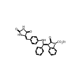 CCOC(=O)N1C(=O)/C(=C(\Nc2ccc(C=C3NC(=O)NC3=O)cc2)c2ccccc2)c2ccccc21